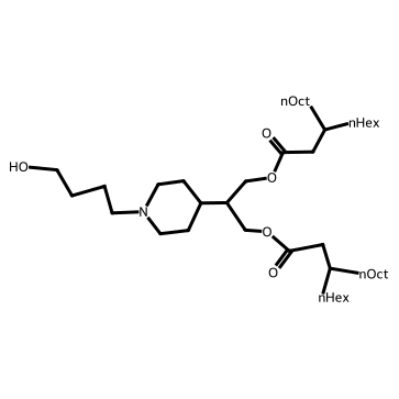 CCCCCCCCC(CCCCCC)CC(=O)OCC(COC(=O)CC(CCCCCC)CCCCCCCC)C1CCN(CCCCO)CC1